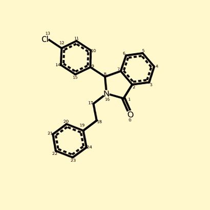 O=C1c2ccccc2C(c2ccc(Cl)cc2)N1CCc1ccccc1